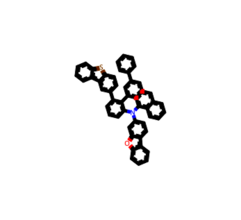 c1ccc(-c2cccc(-c3c(-c4ccc5sc6ccccc6c5c4)cccc3N(c3ccc4c(c3)oc3ccccc34)c3cccc4ccccc34)c2)cc1